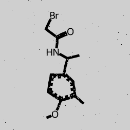 COc1ccc(C(C)NC(=O)CBr)cc1C